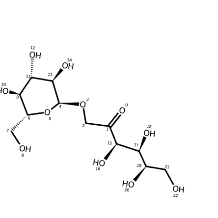 O=C(CO[C@H]1O[C@H](CO)[C@@H](O)[C@H](O)[C@H]1O)[C@H](O)[C@@H](O)[C@H](O)CO